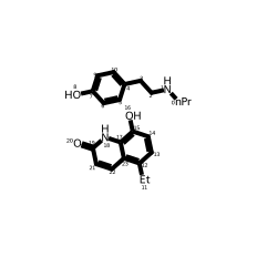 CCCNCCc1ccc(O)cc1.CCc1ccc(O)c2[nH]c(=O)ccc12